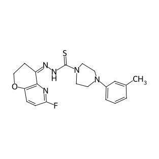 Cc1cccc(N2CCN(C(=S)N/N=C3/CCOc4ccc(F)nc43)CC2)c1